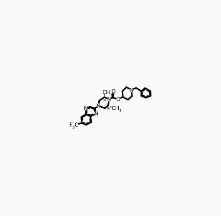 C[C@@H]1CN(c2cnc3cc(C(F)(F)F)ccc3n2)C[C@H](C)N1C(=O)OC1CCN(Cc2ccccc2)CC1